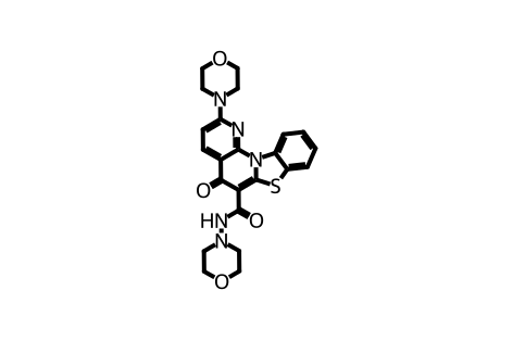 O=C(NN1CCOCC1)c1c(=O)c2ccc(N3CCOCC3)nc2n2c1sc1ccccc12